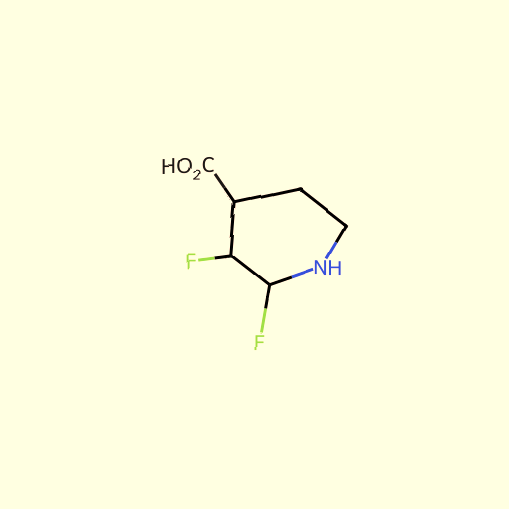 O=C(O)C1CCNC(F)C1F